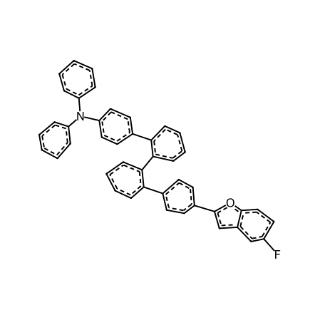 Fc1ccc2oc(-c3ccc(-c4ccccc4-c4ccccc4-c4ccc(N(c5ccccc5)c5ccccc5)cc4)cc3)cc2c1